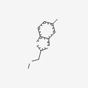 CC(C)(C)OCc1nc2cc(Cl)ccc2o1